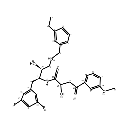 CCc1cccc(CNC[C@H](O)[C@H](Cc2cc(F)cc(F)c2)NC(=O)C(O)CC(=O)c2cccc(OC)c2)c1